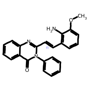 COc1cccc(/C=C/c2nc3ccccc3c(=O)n2-c2ccccc2)c1N